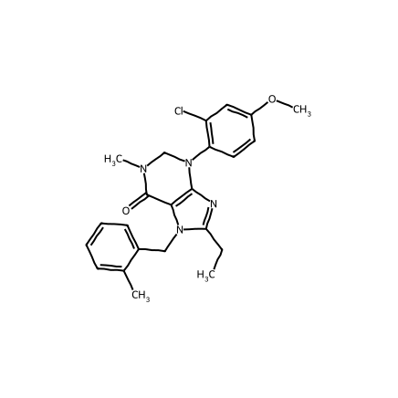 CCc1nc2c(n1Cc1ccccc1C)C(=O)N(C)CN2c1ccc(OC)cc1Cl